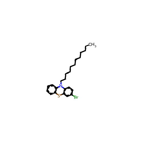 CCCCCCCCCCCCN1c2ccccc2Sc2cc(Br)ccc21